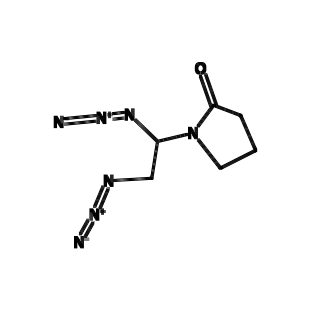 [N-]=[N+]=NCC(N=[N+]=[N-])N1CCCC1=O